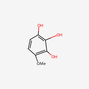 COc1[c]cc(O)c(O)c1O